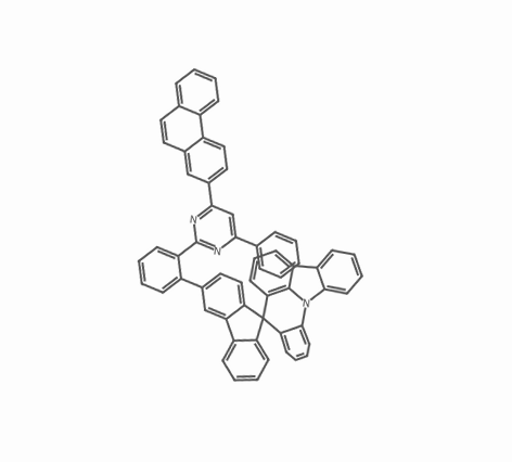 c1ccc(-c2cc(-c3ccc4c(ccc5ccccc54)c3)nc(-c3ccccc3-c3ccc4c(c3)-c3ccccc3C43c4ccccc4-n4c5ccccc5c5cccc3c54)n2)cc1